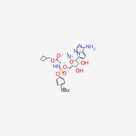 C=NC[C@@]1(c2ccc3c(N)ncnn23)O[C@H](COP(=O)(N[C@@H](C)C(=O)OCC2CCC2)Oc2ccc(C(C)(C)C)cc2)[C@@H](O)[C@H]1O